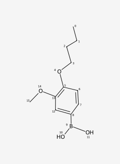 CCCCOc1ccc(B(O)O)cc1OC